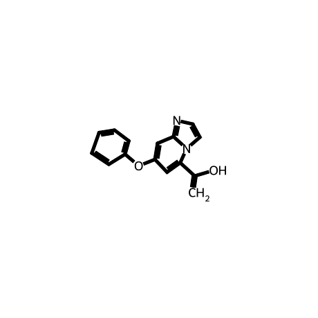 C=C(O)c1cc(Oc2ccccc2)cc2nccn12